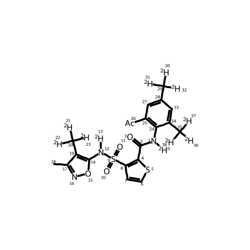 [2H]N(C(=O)c1sccc1S(=O)(=O)N([2H])c1onc(C)c1C([2H])([2H])[2H])c1c(C(C)=O)cc(C([2H])([2H])[2H])cc1C([2H])([2H])[2H]